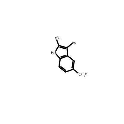 CC(=O)c1c(C(C)(C)C)[nH]c2ccc(C(=O)O)cc12